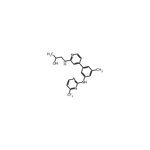 Cc1cc(Nc2nccc(C(F)(F)F)n2)cc(-c2ccnc(NCC(C)O)c2)c1